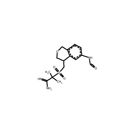 CC(C)(C(=N)N)S(=O)(=O)CC1COCc2ccc(NC=O)cc21